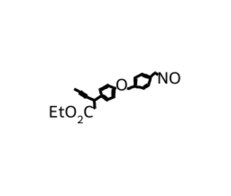 CC#CC(CC(=O)OCC)c1ccc(OCc2ccc(CN=O)cc2)cc1